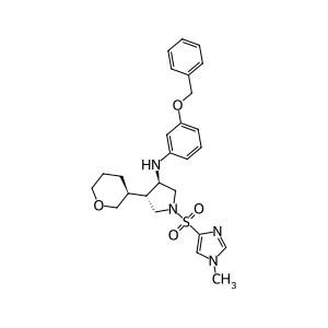 Cn1cnc(S(=O)(=O)N2C[C@H]([C@@H]3CCCOC3)[C@@H](Nc3cccc(OCc4ccccc4)c3)C2)c1